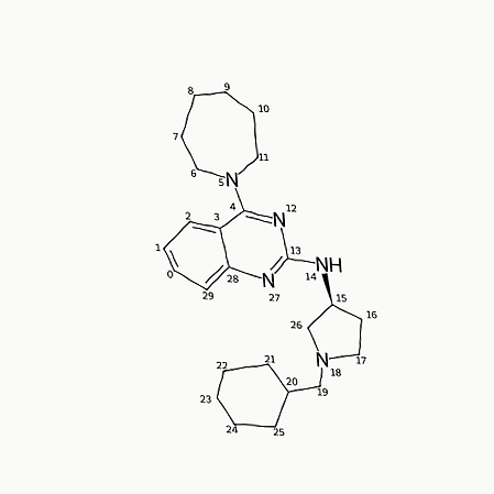 c1ccc2c(N3CCCCCC3)nc(N[C@H]3CCN(CC4CCCCC4)C3)nc2c1